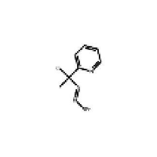 CC(C)N=NC(C)(Cl)c1ccccn1